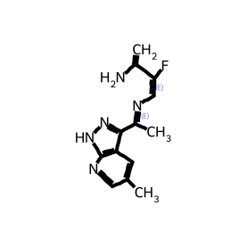 C=C(N)/C(F)=C\N=C(/C)c1n[nH]c2ncc(C)cc12